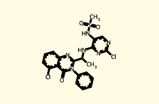 CC(Nc1nc(Cl)ncc1NS(C)(=O)=O)c1nc2cccc(Cl)c2c(=O)n1-c1ccccc1